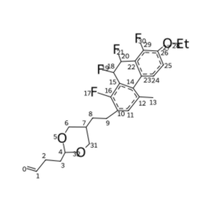 C=CCCC1OCC(CCc2cc(C)c3c(c2F)C(F)C(F)c2c-3ccc(OCC)c2F)CO1